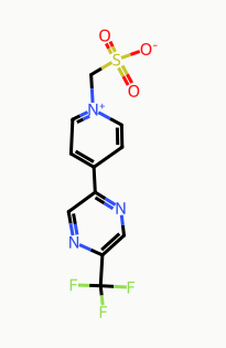 O=S(=O)([O-])C[n+]1ccc(-c2cnc(C(F)(F)F)cn2)cc1